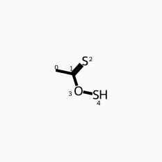 CC(=S)OS